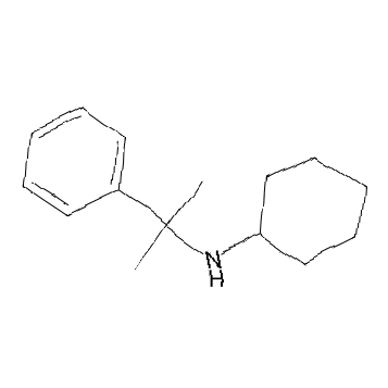 CC(C)(NC1CCCCC1)c1ccccc1